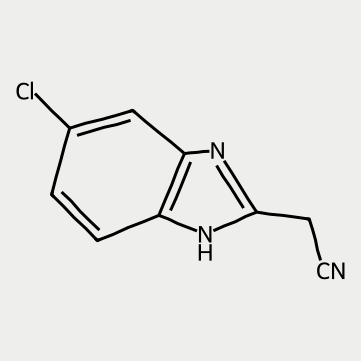 N#CCc1nc2cc(Cl)ccc2[nH]1